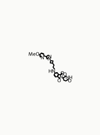 COc1ccc(-c2cnn(C3CC(CCCNc4ccc5c(c4)C(=O)N(C4CCC(=O)NC4=O)C5=O)C3)c2)nc1